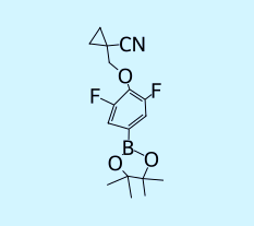 CC1(C)OB(c2cc(F)c(OCC3(C#N)CC3)c(F)c2)OC1(C)C